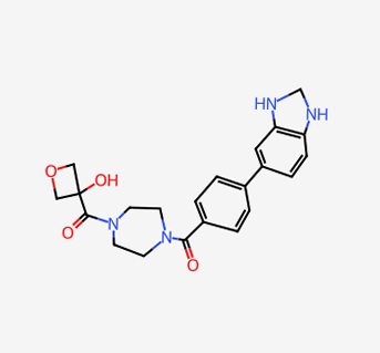 O=C(c1ccc(-c2ccc3c(c2)NCN3)cc1)N1CCN(C(=O)C2(O)COC2)CC1